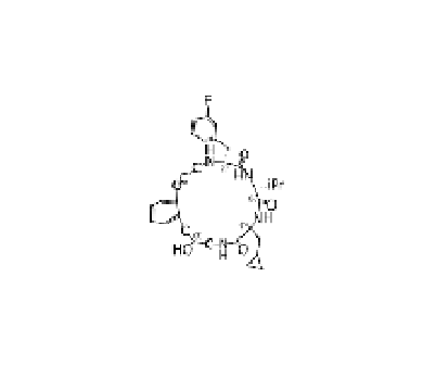 CC(C)[C@H]1NC(=O)[C@@H](Cc2cccc(F)c2)NCCOc2ccccc2C[C@H](O)CNC(=O)[C@H](CC2CC2)NC1=O